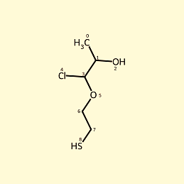 CC(O)C(Cl)OCCS